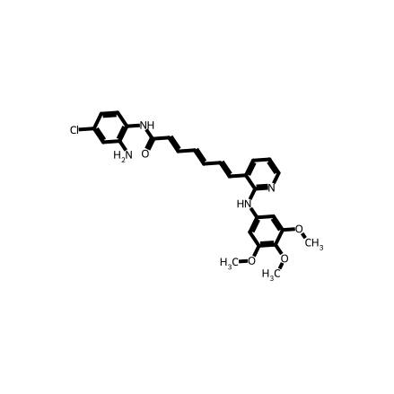 COc1cc(Nc2ncccc2/C=C/C=C/C=C/C(=O)Nc2ccc(Cl)cc2N)cc(OC)c1OC